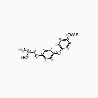 COc1ccc(Oc2ccc(OCC(C)O)cc2)cc1